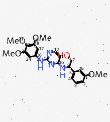 COc1cccc(C(CO)Nc2ccnc(Nc3cc(OC)c(OC)c(OC)c3)n2)c1